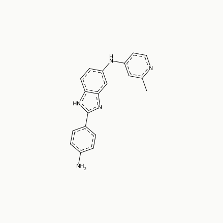 Cc1cc(Nc2ccc3[nH]c(-c4ccc(N)cc4)nc3c2)ccn1